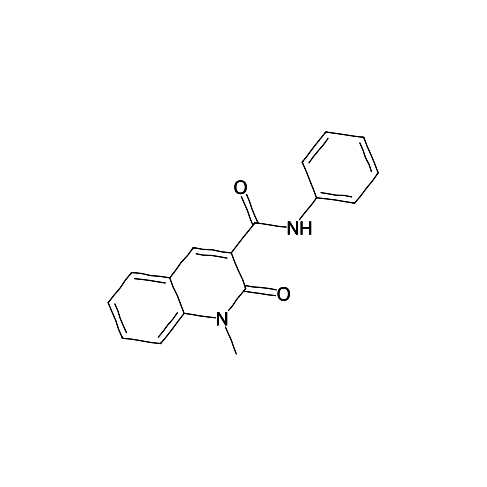 Cn1c(=O)c(C(=O)Nc2ccccc2)cc2ccccc21